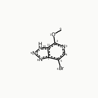 COc1ncc(Br)c2nn[nH]c12